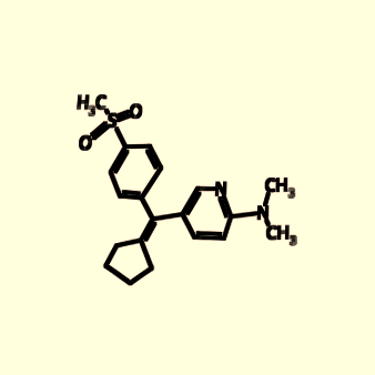 CN(C)c1ccc(C(=C2CCCC2)c2ccc(S(C)(=O)=O)cc2)cn1